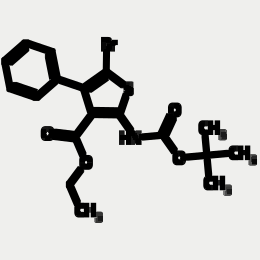 CCOC(=O)c1c(NC(=O)OC(C)(C)C)sc(Br)c1-c1ccccc1